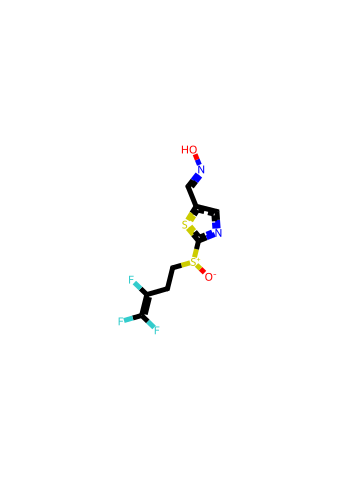 [O-][S+](CCC(F)=C(F)F)c1ncc(C=NO)s1